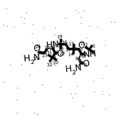 CC(C)(C)N[C@@H](CC(N)=O)C(=O)C(C)(C)CCC(C)(C)N[C@@H](CCC(N)=O)C(=O)C(C)(C)C